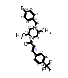 CC1CN(C(=O)/C=C/c2ccc(C(F)(F)F)cc2)C(C)CN1Cc1ccc(F)cc1